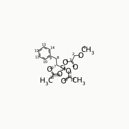 COCC(=O)O[Si](CCc1ccccc1)(OC(C)=O)OC(C)=O